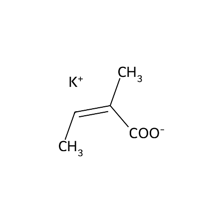 C/C=C(/C)C(=O)[O-].[K+]